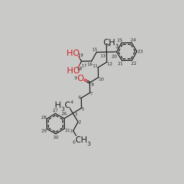 CCCC(C)(CCCC(=O)CCCC(C)(CCC(O)O)c1ccccc1)c1ccccc1